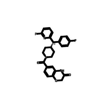 O=C1COc2ccc(C(=O)N3CCC([C@@H](c4ccc(F)cc4)c4cccc(F)n4)CC3)cc2N1